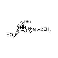 Cc1ccc(C2CCN(c3cnc(-c4ccc(C[C@H](NC(=O)c5ccc(C(C)(C)C)s5)C(=O)N5CC(C(=O)O)C5)cc4)nc3)CC2)cc1